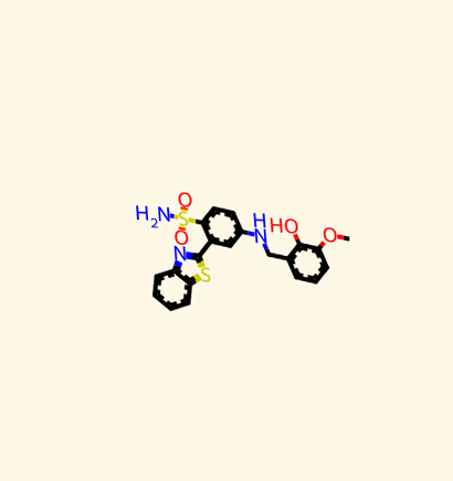 COc1cccc(CNc2ccc(S(N)(=O)=O)c(-c3nc4ccccc4s3)c2)c1O